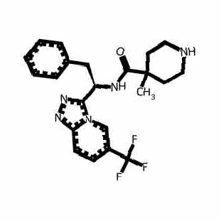 CC1(C(=O)N[C@H](Cc2ccccc2)c2nnc3ccc(C(F)(F)F)cn23)CCNCC1